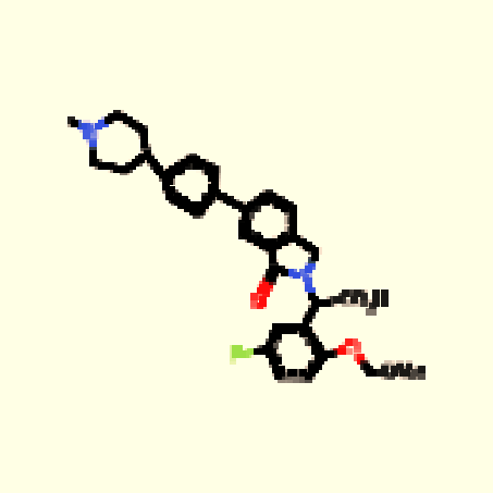 COCOc1ccc(F)cc1C(C(=O)O)N1Cc2ccc(-c3ccc(C4CCN(C)CC4)cc3)cc2C1=O